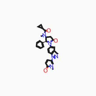 CN(C(=O)C1CC1)[C@@H]1CC(=O)N(c2ccc3c(cnn3-c3ccc(=O)n(C)c3)c2)[C@H]1c1ccccc1